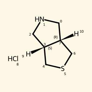 C1NC[C@H]2CSC[C@@H]12.Cl